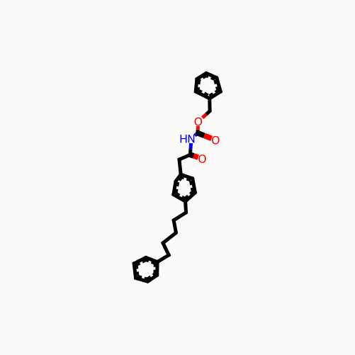 O=C(Cc1ccc(CCCCCc2ccccc2)cc1)NC(=O)OCc1ccccc1